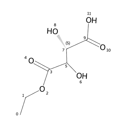 CCOC(=O)C(O)[C@H](O)C(=O)O